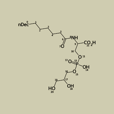 CCCCCCCCCCCCCCCC(=O)NC(COP(=O)(O)OCC(O)CO)C(=O)O